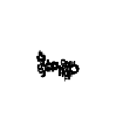 CCC(=O)N[C@@H](C(=O)N1CCN(C)CC1)[C@@H](C)c1ccc(NC(=O)[C@@](N)(OC(=O)C(F)(F)F)C2CCCCCC2)cc1